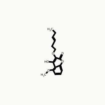 CCC=CCCOc1c(O)c2c(OC)cccc2oc1=O